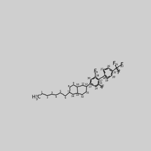 CCCCCCCC1CCC2CC(c3cc(F)c(-c4ccc(C(F)(F)F)cc4)c(F)c3)CCC2C1